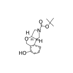 CC(C)(C)OC(=O)N1C[C@@H]2OCc3c(O)cccc3[C@@H]2C1